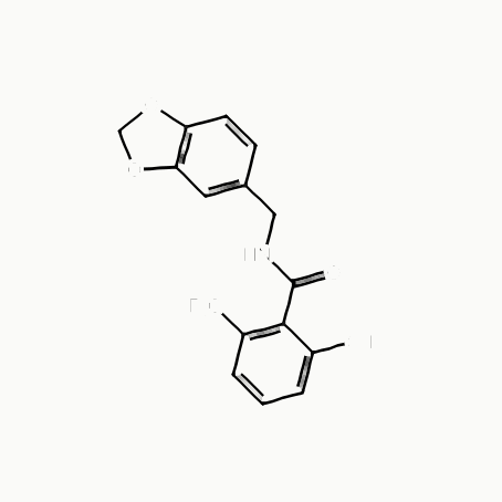 Cc1cccc(C(F)(F)F)c1C(=O)NCc1ccc2c(c1)OCO2